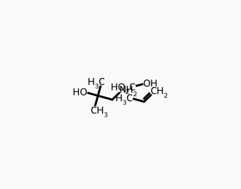 C=CC.CC(C)(O)CN.O=C(O)O